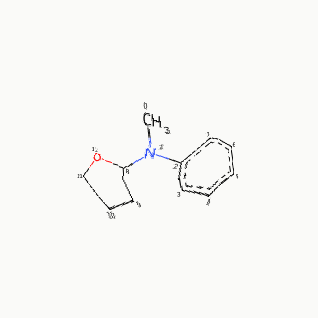 CN(c1ccccc1)C1CCCO1